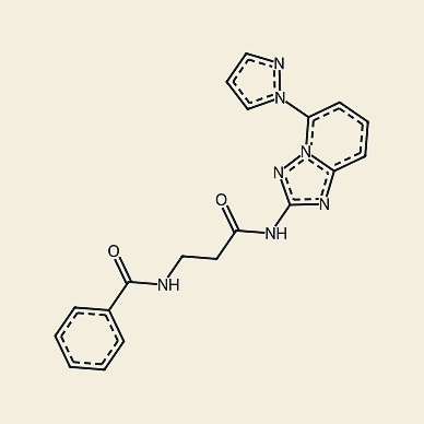 O=C(CCNC(=O)c1ccccc1)Nc1nc2cccc(-n3cccn3)n2n1